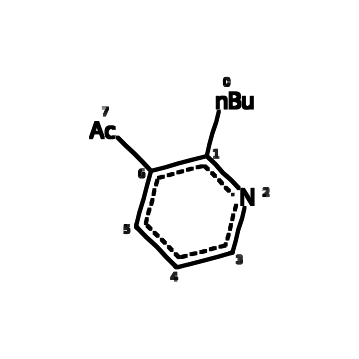 CCCCc1ncccc1C(C)=O